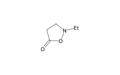 CCN1CCC(=O)O1